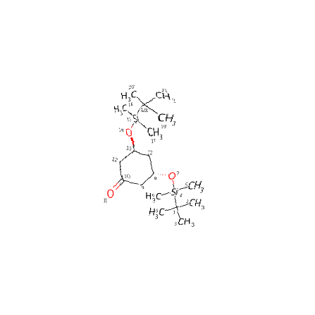 CC(C)(C)[Si](C)(C)O[C@@H]1CC(=O)C[C@@H](O[Si](C)(C)C(C)(C)C)C1